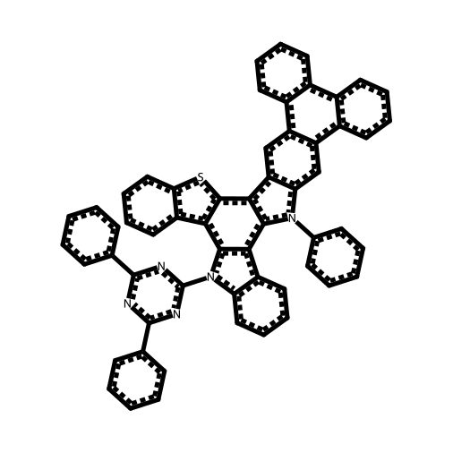 c1ccc(-c2nc(-c3ccccc3)nc(-n3c4ccccc4c4c5c(c6cc7c8ccccc8c8ccccc8c7cc6n5-c5ccccc5)c5sc6ccccc6c5c43)n2)cc1